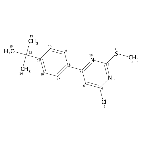 CSc1nc(Cl)cc(-c2ccc(C(C)(C)C)cc2)n1